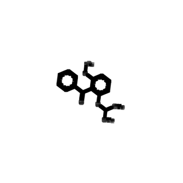 CCCCOc1cccc(OC(OC)OC)c1C(=O)c1ccccc1